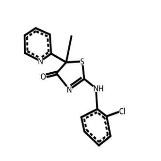 CC1(c2ccccn2)SC(Nc2ccccc2Cl)=NC1=O